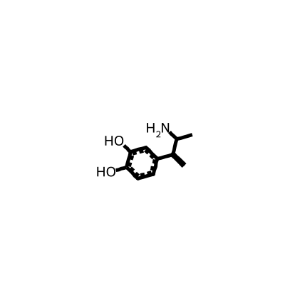 C=C(c1ccc(O)c(O)c1)C(C)N